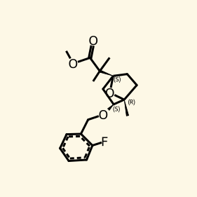 COC(=O)C(C)(C)[C@@]12CC[C@@](C)(O1)[C@@H](OCc1ccccc1F)C2